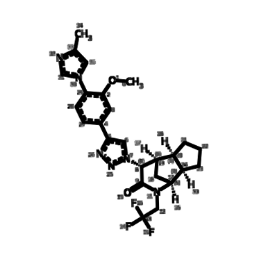 COc1cc(-c2cn([C@H]3C(=O)N(CC(F)(F)F)[C@H]4C[C@@H]3[C@H]3CCC[C@H]34)nn2)ccc1-n1cnc(C)c1